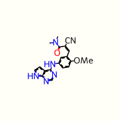 COc1ccc(Nc2ncnc3[nH]ccc23)cc1C=C(C#N)C(=O)N(C)C